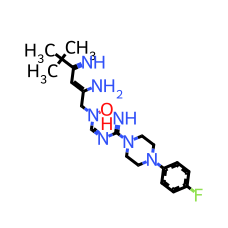 CC(C)(C)C(=N)/C=C(\N)CN(O)/C=N\C(=N)N1CCN(c2ccc(F)cc2)CC1